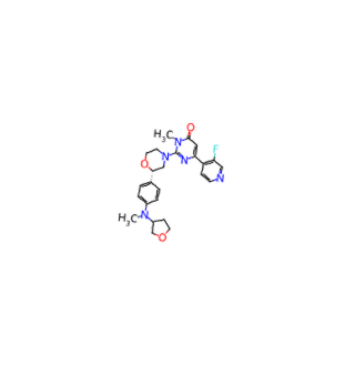 CN(c1ccc([C@H]2CN(c3nc(-c4ccncc4F)cc(=O)n3C)CCO2)cc1)C1CCOC1